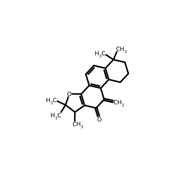 C=C1C(=O)C2=C(OC(C)(C)C2C)c2ccc3c(c21)CCCC3(C)C